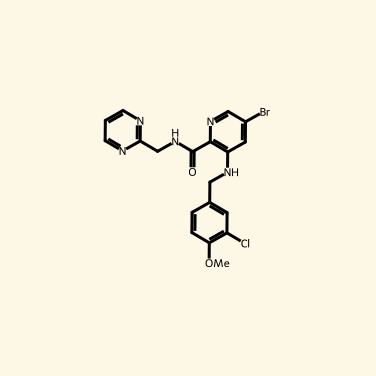 COc1ccc(CNc2cc(Br)cnc2C(=O)NCc2ncccn2)cc1Cl